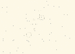 OCC(CN1C[C@H]2C[C@@H](Oc3ccc(F)c(F)c3)C[C@H]2C1)c1ccc(O)cc1